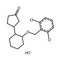 Cl.O=C1CCN(C2CCCCC2OCc2c(Cl)cccc2Cl)C1